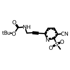 CC(C)(C)OC(=O)NCC#Cc1ccc(C#N)c(S(C)(=O)=O)n1